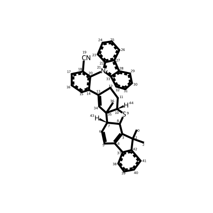 CC1(C)C2=C(C=C[C@H]3C2S[C@H]2CCC(c4cccc(C#N)c4-n4c5ccccc5c5ccccc54)=CC23C)c2ccccc21